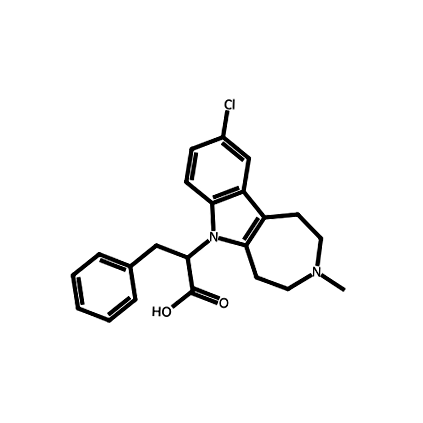 CN1CCc2c(n(C(Cc3ccccc3)C(=O)O)c3ccc(Cl)cc23)CC1